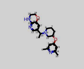 Cc1cc(OC2CCCN(C(C)c3cnc4c(c3)OCCN4)C2)cc(C)n1